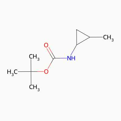 CC1CC1NC(=O)OC(C)(C)C